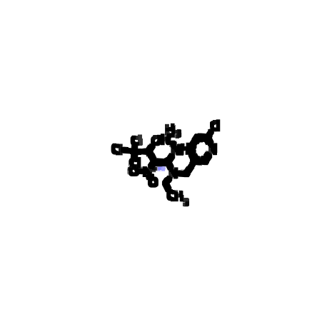 CCN(Cc1ccc(Cl)nc1)/C(NC)=C(/C(O)C(Cl)(Cl)Cl)[N+](=O)[O-]